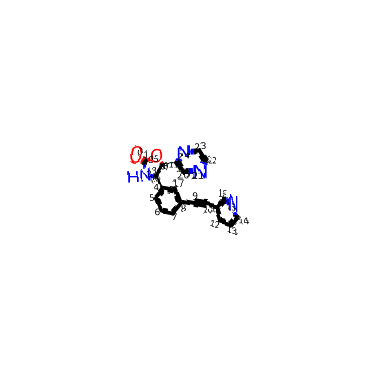 O=C1N[C@H](c2cccc(C#Cc3cccnc3)c2)[C@@H](c2cnccn2)O1